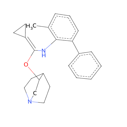 Cc1cccc(-c2ccccc2)c1NC(OC1CN2CCC1CC2)=C1CC1